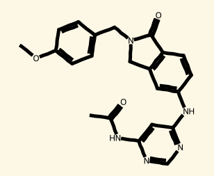 COc1ccc(CN2Cc3cc(Nc4cc(NC(C)=O)ncn4)ccc3C2=O)cc1